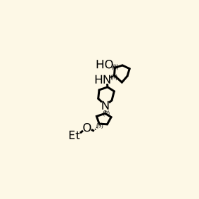 CCOC[C@H]1CC[C@@H](N2CCC(N[C@@H]3CCCC[C@H]3O)CC2)C1